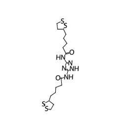 O=C(CCCCC1CCSS1)Nc1n[nH]c(NC(=O)CCCCC2CCSS2)n1